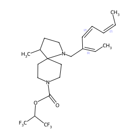 C\C=C/C=C\C(=C/C)CN1CCC(C)C12CCN(C(=O)OC(C(F)(F)F)C(F)(F)F)CC2